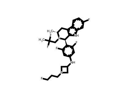 C[C@@H]1Cc2c([nH]c3cc(F)ccc23)[C@@H](c2c(F)cc(NC3CN(CCCF)C3)cc2F)N1CC(C)(F)F